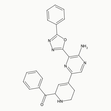 Nc1ncc(C2=CC(C(=O)c3ccccc3)NCC2)nc1-c1nnc(-c2ccccc2)o1